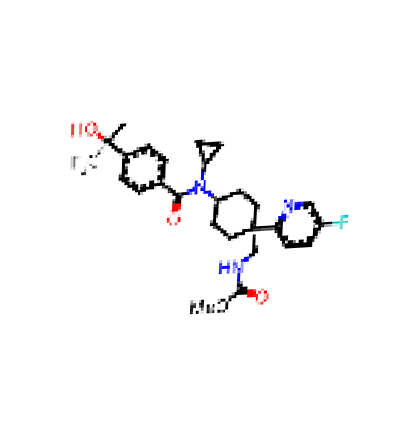 COC(=O)NC[C@]1(c2ccc(F)cn2)CC[C@H](N(C(=O)c2ccc([C@](C)(O)C(F)(F)F)cc2)C2CC2)CC1